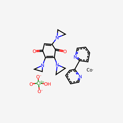 O=C1C=C(N2CC2)C(=O)C(N2CC2)=C1N1CC1.[Co].[O-][Cl+3]([O-])([O-])O.c1ccc(-c2ccccn2)nc1